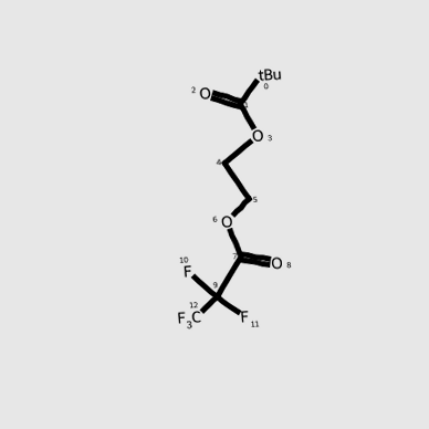 CC(C)(C)C(=O)OCCOC(=O)C(F)(F)C(F)(F)F